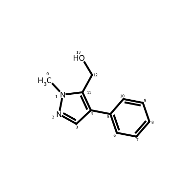 Cn1ncc(-c2ccccc2)c1CO